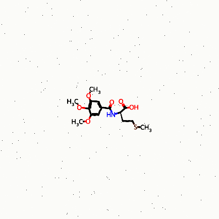 COc1cc(C(=O)N[C@H](CCSC)C(=O)O)cc(OC)c1OC